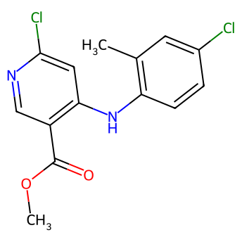 COC(=O)c1cnc(Cl)cc1Nc1ccc(Cl)cc1C